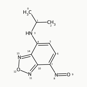 CC(C)Nc1ccc(N=O)c2nonc12